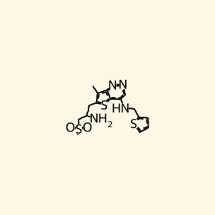 Cc1c(C[C@@H](N)CS(C)(=O)=O)sc2c(NCc3cccs3)cnnc12